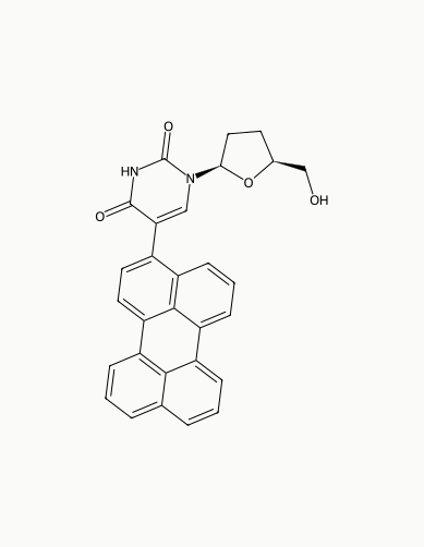 O=c1[nH]c(=O)n([C@H]2CC[C@@H](CO)O2)cc1-c1ccc2c3cccc4cccc(c5cccc1c52)c43